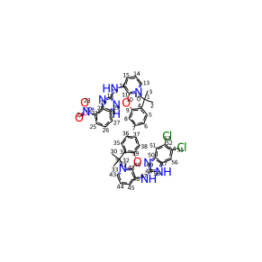 CC(C)(C)c1ccccc1Oc1ncccc1Nc1nc2c([N+](=O)[O-])cccc2[nH]1.CC(C)(C)c1ccccc1Oc1ncccc1Nc1nc2cc(Cl)c(Cl)cc2[nH]1